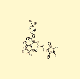 CC1=C(C)C(=O)N(CCCCC(C(=O)OOOC(C)(C)C)N2C(=O)C(C)=C(C)C2=O)C1=O